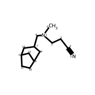 CN(CCC#N)CC1CC2CCC(C2)C1